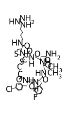 CC(C)[C@@H]1NC(=O)[C@H](Cc2ccc(F)cc2)NC(=O)[C@H](Cc2ccc(Cl)cc2)NC(=O)CCCSC[C@@H](C(=O)N2CSC[C@H]2C(=O)NCCCCNC(=N)N)NC(=O)[C@H](CC(N)=O)NC1=O